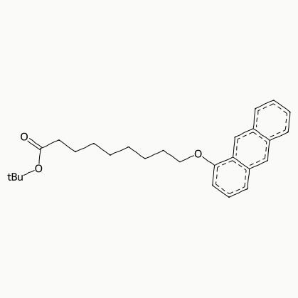 CC(C)(C)OC(=O)CCCCCCCCOc1cccc2cc3ccccc3cc12